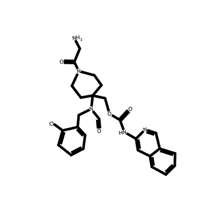 NCC(=O)N1CCC(COC(=O)Nc2cc3ccccc3cn2)(N(C=O)Cc2ccccc2Cl)CC1